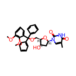 COc1cccc(C(OC[C@H]2O[C@@H](n3cc(C)c(=O)[nH]c3=O)C[C@@H]2O)(c2ccccc2)c2ccccc2)c1OC